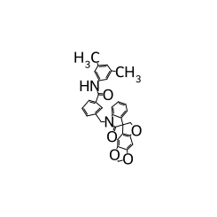 Cc1cc(C)cc(NC(=O)c2cccc(CN3C(=O)C4(COc5cc6c(cc54)OCO6)c4ccccc43)c2)c1